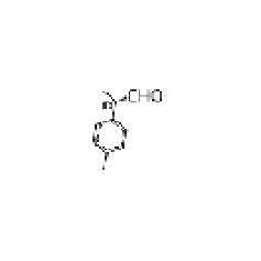 Cc1ccc([C@@H](C)[C]=O)cc1